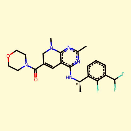 Cc1nc(N[C@H](C)c2cccc(C(F)F)c2F)c2c(n1)N(C)CC(C(=O)N1CCOCC1)=C2